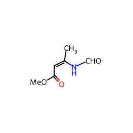 COC(=O)/C=C(/C)N[C]=O